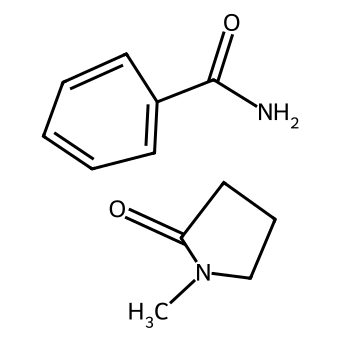 CN1CCCC1=O.NC(=O)c1ccccc1